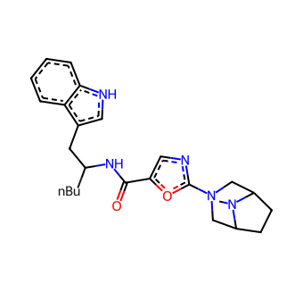 CCCCC(Cc1c[nH]c2ccccc12)NC(=O)c1cnc(N2CC3CCC(C2)N3C)o1